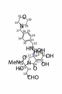 C=C(O)/C(O)=C1/C(=O)N(C(O)(CCC=O)C(=O)NC)C/C1=C(/O)NCc1ccc(CN2CCOCC2)cc1